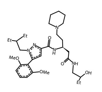 CCC(O)CNC(=O)C[C@H](CCN1CCCCC1)NC(=O)c1cc(-c2c(OC)cccc2OC)n(CC(CC)CC)n1